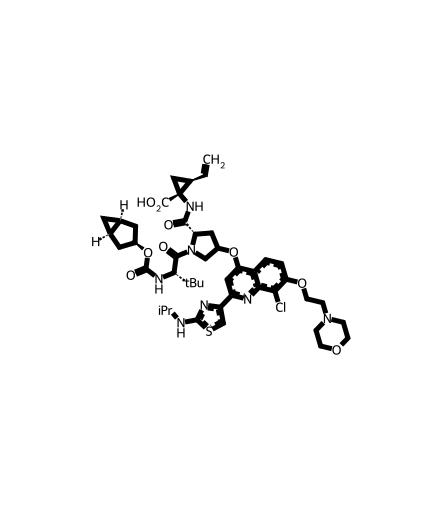 C=C[C@@H]1C[C@]1(NC(=O)[C@@H]1CC(Oc2cc(-c3csc(NC(C)C)n3)nc3c(Cl)c(OCCN4CCOCC4)ccc23)CN1C(=O)[C@@H](NC(=O)O[C@@H]1C[C@@H]2C[C@@H]2C1)C(C)(C)C)C(=O)O